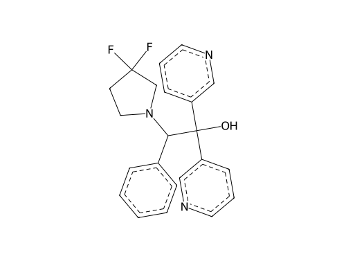 OC(c1cccnc1)(c1cccnc1)C(c1ccccc1)N1CCC(F)(F)C1